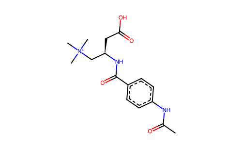 CC(=O)Nc1ccc(C(=O)N[C@H](CC(=O)O)C[N+](C)(C)C)cc1